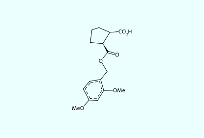 COc1ccc(COC(=O)[C@H]2CCCC2C(=O)O)c(OC)c1